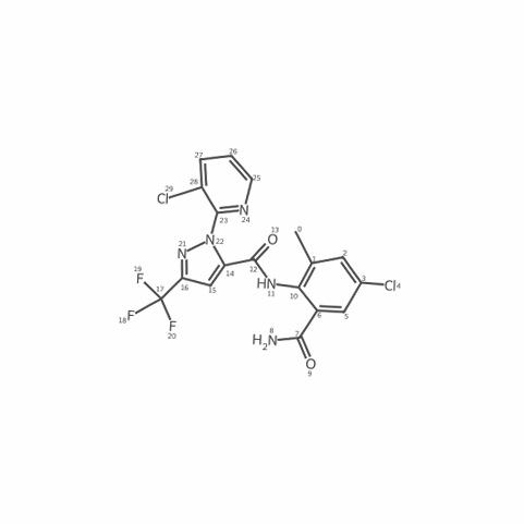 Cc1cc(Cl)cc(C(N)=O)c1NC(=O)c1cc(C(F)(F)F)nn1-c1ncccc1Cl